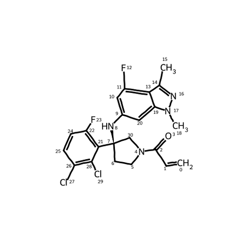 C=CC(=O)N1CC[C@](Nc2cc(F)c3c(C)nn(C)c3c2)(c2c(F)ccc(Cl)c2Cl)C1